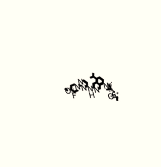 CC[S@@+]([O-])C[C@H]1CN(c2ccc(C(C)C)c3cc(Nc4ccnc(N5CC[C@@H](OC)[C@@H](F)C5)n4)ncc23)[C@@H]1C